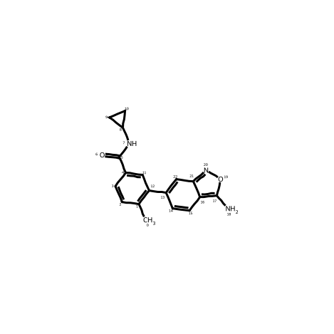 Cc1ccc(C(=O)NC2CC2)cc1-c1ccc2c(N)onc2c1